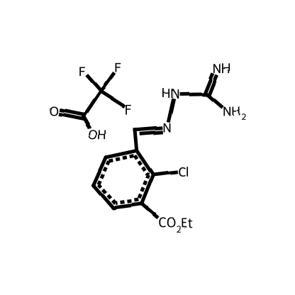 CCOC(=O)c1cccc(C=NNC(=N)N)c1Cl.O=C(O)C(F)(F)F